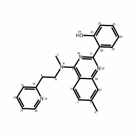 Cc1ccc2c(N(C)CCc3ccccn3)nc(-c3ccccc3O)nc2c1